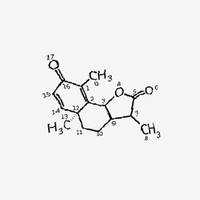 CC1=C2C3OC(=O)C(C)C3CC[C@@]2(C)C=CC1=O